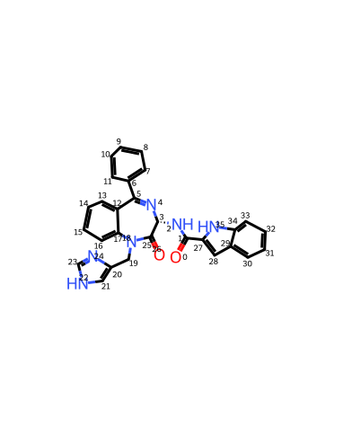 O=C(N[C@H]1N=C(c2ccccc2)c2ccccc2N(Cc2c[nH]cn2)C1=O)c1cc2ccccc2[nH]1